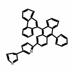 c1ccc(-c2c3ccccc3c(-c3cc4ccccc4c4ccccc34)c3cc(-c4ccc(-c5cccnc5)cn4)ccc23)cc1